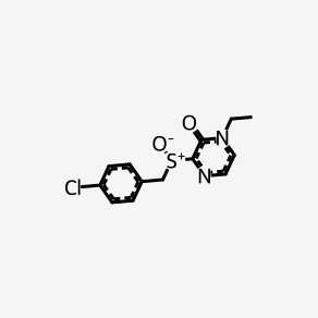 CCn1ccnc([S+]([O-])Cc2ccc(Cl)cc2)c1=O